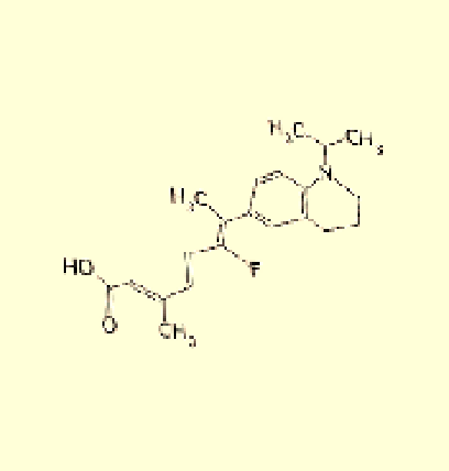 CC(C=CC(F)=C(C)c1ccc2c(c1)CCCN2C(C)C)=CC(=O)O